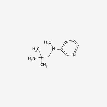 CN(CC(C)(C)N)c1cccnc1